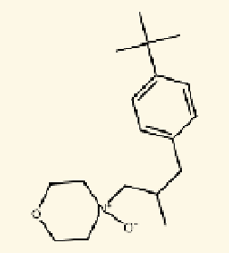 CC(Cc1ccc(C(C)(C)C)cc1)C[N+]1([O-])CCOCC1